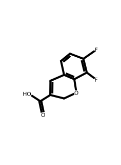 O=C(O)C1=Cc2ccc(F)c(F)c2OC1